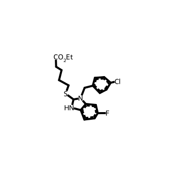 CCOC(=O)CCCCSC1Nc2ccc(F)cc2N1Cc1ccc(Cl)cc1